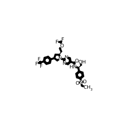 CCS(=O)(=O)c1ccc([C@H](CO)NC(=O)c2cnc(N3CC(c4ccc(C(F)(F)F)cc4)C[C@H]3CCOC(F)F)nc2)cc1